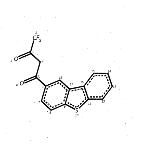 O=C(CC(=O)C(F)(F)F)c1ccc2sc3ccccc3c2c1